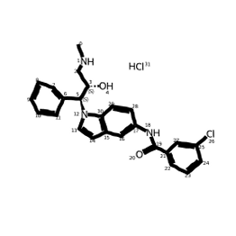 CNC[C@H](O)[C@H](c1ccccc1)n1ccc2cc(NC(=O)c3cccc(Cl)c3)ccc21.Cl